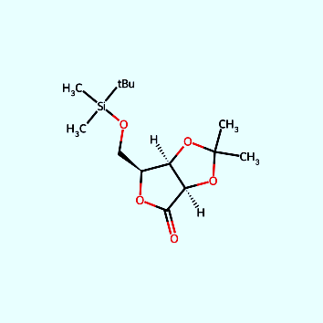 CC1(C)O[C@@H]2[C@H](CO[Si](C)(C)C(C)(C)C)OC(=O)[C@@H]2O1